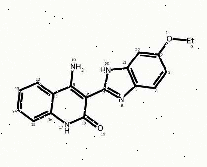 CCOc1ccc2nc(-c3c(N)c4ccccc4[nH]c3=O)[nH]c2c1